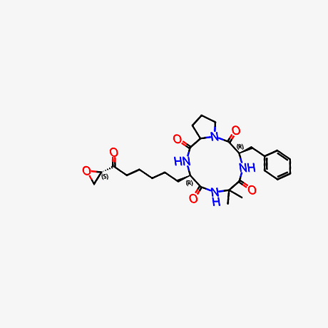 CC1(C)NC(=O)[C@@H](CCCCCC(=O)[C@@H]2CO2)NC(=O)C2CCCN2C(=O)[C@@H](Cc2ccccc2)NC1=O